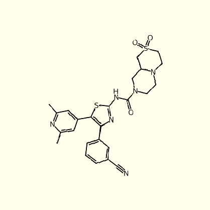 Cc1cc(-c2sc(NC(=O)N3CCN4CCS(=O)(=O)CC4C3)nc2-c2cccc(C#N)c2)cc(C)n1